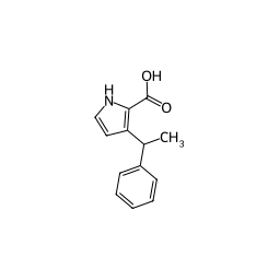 CC(c1ccccc1)c1cc[nH]c1C(=O)O